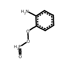 Nc1ccccc1OO[PH2]=O